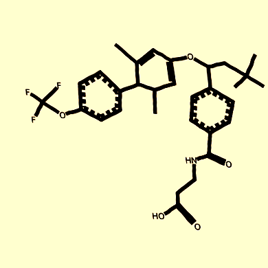 CC1=CC(OC(CC(C)(C)C)c2ccc(C(=O)NCCC(=O)O)cc2)=CC(C)C1c1ccc(OC(F)(F)F)cc1